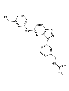 CC(=O)NCc1cccc(-n2nnc3cnc(Nc4cccc(CO)c4)nc32)c1